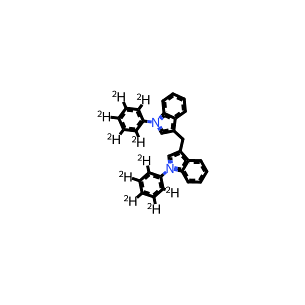 [2H]c1c([2H])c([2H])c(-n2cc(Cc3cn(-c4c([2H])c([2H])c([2H])c([2H])c4[2H])c4ccccc34)c3ccccc32)c([2H])c1[2H]